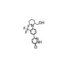 O=c1ccc(-c2ccc(N3CCCCC3CO)c(C(F)(F)F)c2)n[nH]1